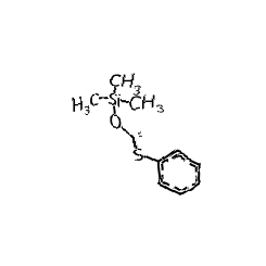 C[Si](C)(C)O[C]Sc1ccccc1